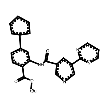 CC(C)(C)OC(=O)c1ccc(-c2ccccc2)cc1NC(=O)c1cncc(-c2ncccn2)c1